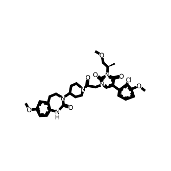 COC[C@@H](C)n1c(=O)c(-c2cccc(OC)c2Cl)cn(CC(=O)N2CCC(N3CCc4cc(OC)ccc4NC3=O)CC2)c1=O